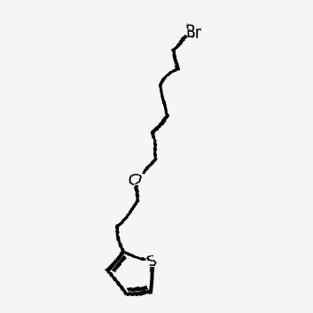 BrCCCCCCOCCc1cccs1